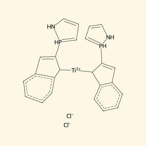 C1=CN[PH](C2=Cc3ccccc3[CH]2[Ti+2][CH]2C([PH]3=CC=CN3)=Cc3ccccc32)=C1.[Cl-].[Cl-]